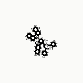 C1=C(c2ccc(-n3c4ccc5ccccc5c4c4c5ccccc5ccc43)c3oc4cc5ccccc5cc4c23)NC(c2ccccc2)NC1c1ccccc1